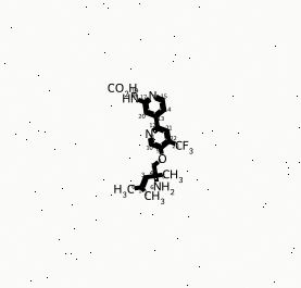 CC(C)=CC(C)(N)COc1cnc(-c2ccnc(NC(=O)O)c2)cc1C(F)(F)F